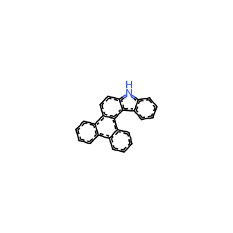 c1ccc2c(c1)[nH]c1ccc3c4ccccc4c4ccccc4c3c12